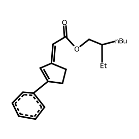 CCCCC(CC)COC(=O)C=C1C=C(c2ccccc2)CC1